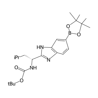 CC(C)C[C@@H](NC(=O)OC(C)(C)C)c1nc2ccc(B3OC(C)(C)C(C)(C)O3)cc2[nH]1